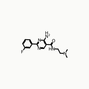 CN(C)CCNC(=O)c1cnc(-c2cccc(F)c2)nc1N